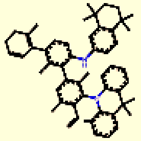 C=Cc1c(C)cc(-c2c(Nc3ccc4c(c3)C(C)(C)CCC4(C)C)ccc(C3=C(C)CCC=C3)c2C)c(C)c1N1c2ccccc2C(C)(C)c2cccc(C)c21